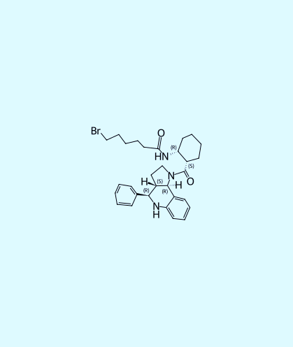 O=C(CCCCCBr)N[C@@H]1CCCC[C@@H]1C(=O)N1CC[C@H]2[C@H](c3ccccc3)Nc3ccccc3[C@@H]21